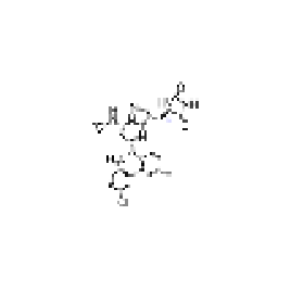 CN(c1nc(NC2CC2)n2ncc(/C=C3\NC(=O)NC3=O)c2n1)c1ccc(F)cc1-c1cccc(Cl)c1